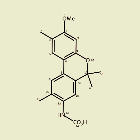 COc1cc2c(cc1C)-c1cc(C)c(NC(=O)O)cc1C(C)(C)O2